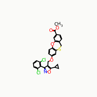 COC(=O)c1ccc2c(c1)Oc1ccc(OCc3c(-c4c(Cl)cccc4Cl)noc3C3CC3)cc1SC2